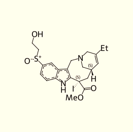 CCC1=C[C@H]2CN(C1)Cc1c([nH]c3ccc([S+]([O-])CCO)cc13)[C@](I)(C(=O)OC)C2